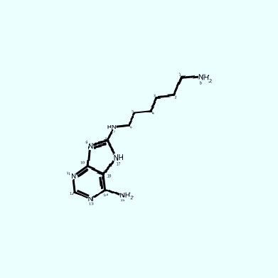 NCCCCCCNc1nc2ncnc(N)c2[nH]1